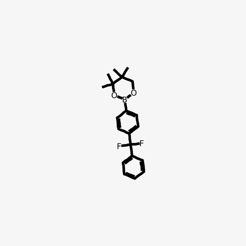 CC1(C)COB(c2ccc(C(F)(F)c3ccccc3)cc2)OC1(C)C